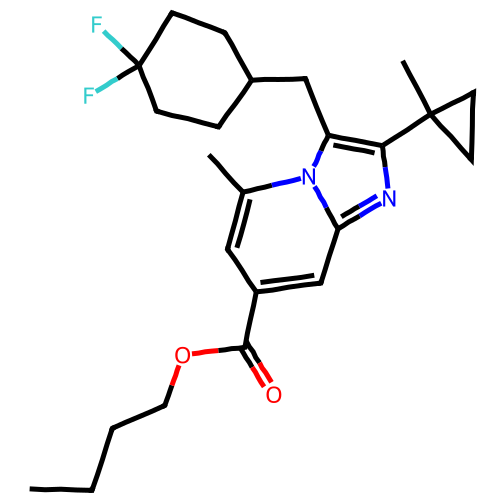 CCCCOC(=O)c1cc(C)n2c(CC3CCC(F)(F)CC3)c(C3(C)CC3)nc2c1